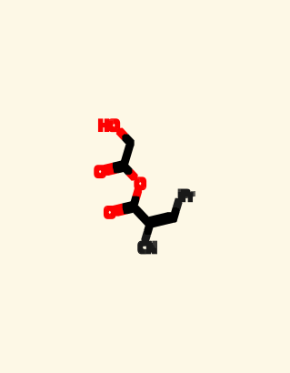 CC(C)C=C(C#N)C(=O)OC(=O)CO